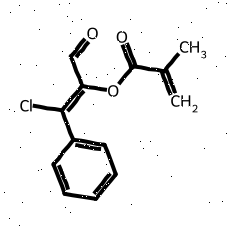 C=C(C)C(=O)OC(C=O)=C(Cl)c1ccccc1